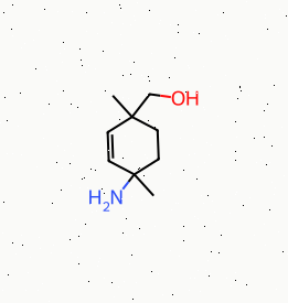 CC1(N)C=CC(C)(CO)CC1